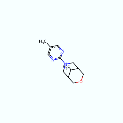 Cc1cnc(N2CC3COCC(C2)C3C)nc1